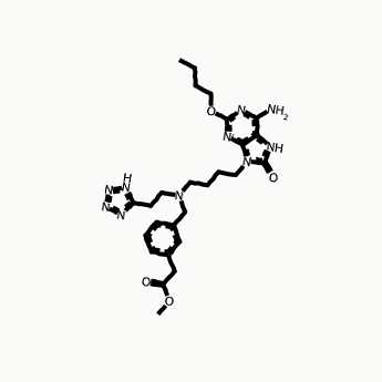 CCCCOc1nc(N)c2[nH]c(=O)n(CCCCN(CCc3nnn[nH]3)Cc3cccc(CC(=O)OC)c3)c2n1